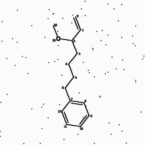 C=CC(CCCCc1ccccc1)OC